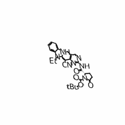 CCN1/C(=C(\C#N)c2nc(NC(=O)[C@@H]3CCC(=O)N3C(=O)OC(C)(C)C)ncc2C)Nc2ccccc21